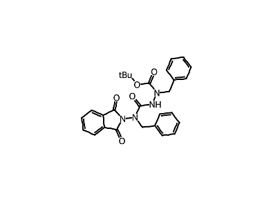 CC(C)(C)OC(=O)N(Cc1ccccc1)NC(=O)N(Cc1ccccc1)N1C(=O)c2ccccc2C1=O